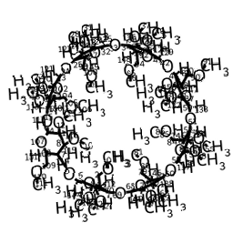 COC[C@H]1O[C@H]2O[C@H]3[C@H](OC)[C@@H](OC)[C@H](O[C@H]4[C@H](OC)[C@@H](OC)[C@H](O[C@H]5[C@H](OC)[C@@H](OC)[C@H](O[C@H]6[C@H](OC)[C@@H](OC)[C@H](O[C@H]7[C@H](OC)[C@@H](OC)[C@H](O[C@H]8[C@H](OC)[C@@H](OC)[C@H](O[C@H]9[C@H](OC)[C@@H](OC)[C@H](O[C@H]1[C@H](OC)[C@H]2OC)O[C@@H]9COC)O[C@@H]8COC)O[C@@H]7COC)O[C@@H]6COC)O[C@@H]5COC)O[C@@H]4COC)O[C@@H]3COC